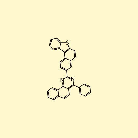 c1ccc(-c2nc(-c3ccc4c(ccc5sc6ccccc6c54)c3)nc3c2ccc2ccccc23)cc1